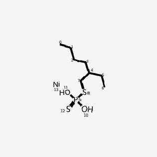 CCCCC(CC)CSP(O)(O)=S.[Ni]